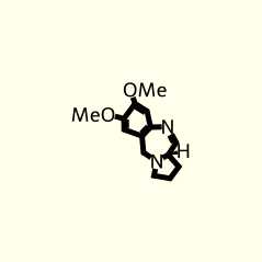 COc1cc2c(cc1OC)N=C[C@@H]1CCCN1C2